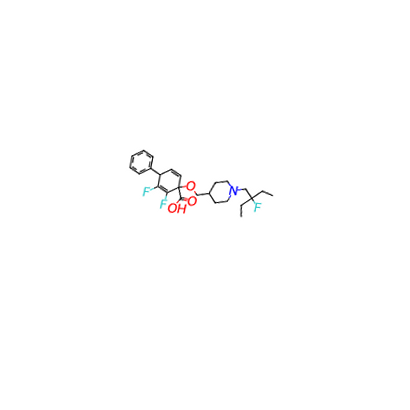 CCC(F)(CC)CN1CCC(COC2(C(=O)O)C=CC(c3ccccc3)C(F)=C2F)CC1